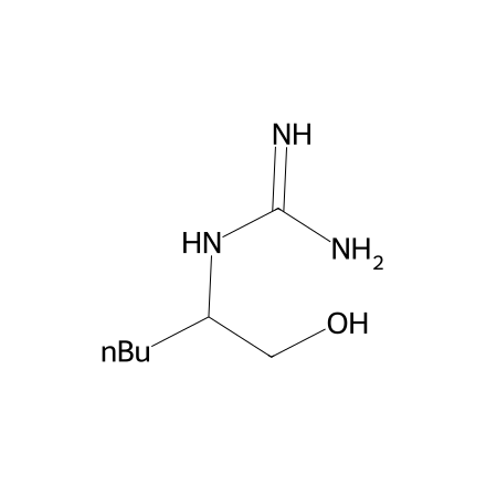 CCCCC(CO)NC(=N)N